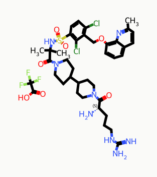 Cc1ccc2cccc(OCc3c(Cl)ccc(S(=O)(=O)NC(C)(C)C(=O)N4CCC(C5CCN(C(=O)[C@@H](N)CCCNC(=N)N)CC5)CC4)c3Cl)c2n1.O=C(O)C(F)(F)F